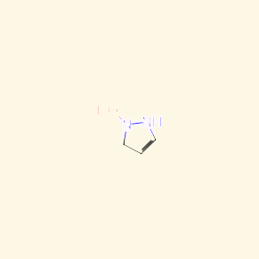 ON1CC=CN1